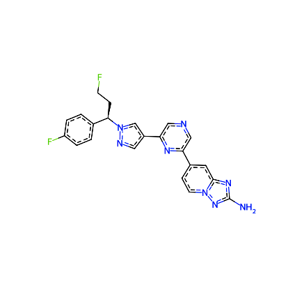 Nc1nc2cc(-c3cncc(-c4cnn([C@H](CCF)c5ccc(F)cc5)c4)n3)ccn2n1